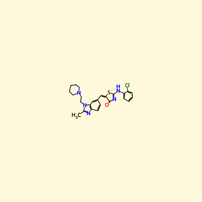 Cc1nc2ccc(C=C3SC(Nc4ccccc4Cl)=NC3=O)cc2n1CCN1CCCCC1